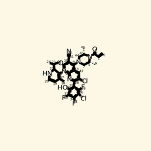 C=CC(=O)N1[C@H](C)CN(c2c(C#N)c(=O)n(C3=C(C)C=CNC3C(C)C)c3nc(-c4c(O)c(F)c(F)c(Cl)c4F)c(Cl)cc23)C[C@@H]1C